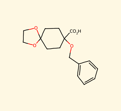 O=C(O)C1(OCc2ccccc2)CCC2(CC1)OCCO2